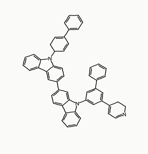 C1=CC(n2c3ccccc3c3cc(-c4ccc5c6ccccc6n(-c6cc(C7=CC=NCC7)cc(-c7ccccc7)c6)c5c4)ccc32)CC=C1c1ccccc1